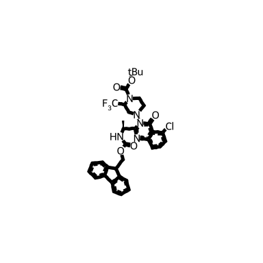 C[C@H](NC(=O)OCC1c2ccccc2-c2ccccc21)c1nc2cccc(Cl)c2c(=O)n1N1CCN(C(=O)OC(C)(C)C)C(C(F)(F)F)C1